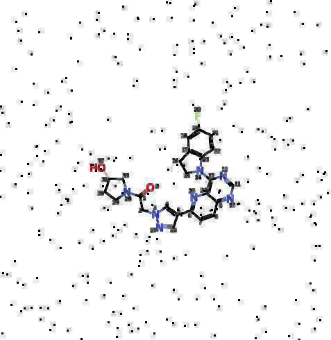 O=C(Cn1cc(-c2ccc3ncnc(N4CCc5cc(F)ccc54)c3n2)cn1)N1CC[C@H](O)C1